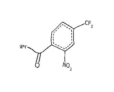 CC(C)C(=O)c1ccc(C(F)(F)F)cc1[N+](=O)[O-]